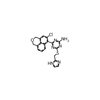 Nc1nc(SCc2ncc[nH]2)nc(-c2c(Cl)cc3c4c(cccc24)COC3)n1